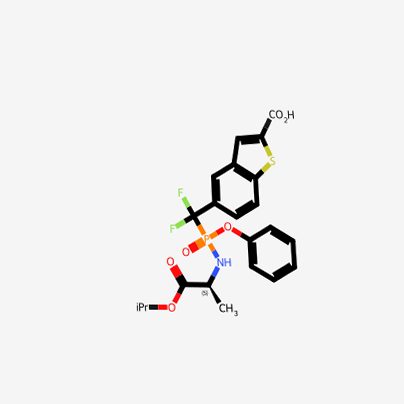 CC(C)OC(=O)[C@H](C)NP(=O)(Oc1ccccc1)C(F)(F)c1ccc2sc(C(=O)O)cc2c1